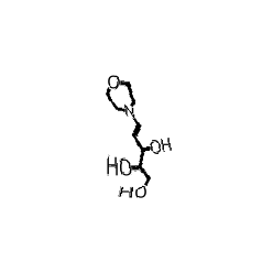 OCC(O)C(O)C=CN1CCOCC1